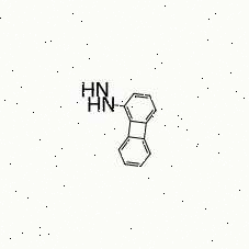 [NH]Nc1cccc2c1-c1ccccc1-2